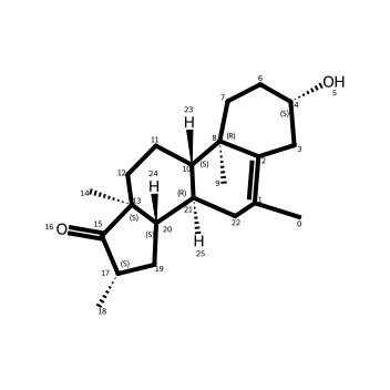 CC1=C2C[C@@H](O)CC[C@]2(C)[C@H]2CC[C@]3(C)C(=O)[C@@H](C)C[C@H]3[C@@H]2C1